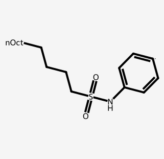 CCCCCCCCCCCCS(=O)(=O)Nc1cc[c]cc1